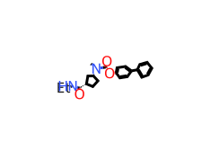 CCNC(=O)[C@H]1CC[C@@H](N(C)C(=O)Oc2ccc(-c3ccccc3)cc2)C1